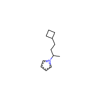 CC(CCC1CCC1)n1cccc1